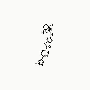 CN(c1nc2sc(-c3ccc(-c4cn[nH]c4)nn3)nc2s1)[C@@H]1C[C@H]2CC[C@@H](C1)N2